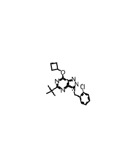 CC(C)(C)c1nc(OC2CCC2)c2nnn(Cc3ccccc3Cl)c2n1